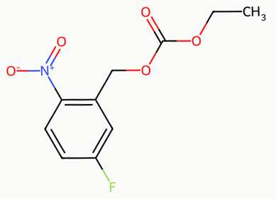 CCOC(=O)OCc1cc(F)ccc1[N+](=O)[O-]